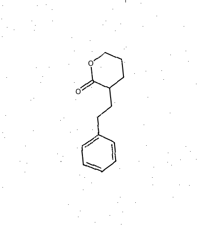 O=C1OCCCC1CCc1ccccc1